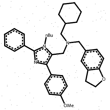 CCCCn1c(-c2ccccc2)nc(-c2ccc(OC)cc2)c1CN(Cc1ccc2c(c1)CCO2)CC1CCCCC1